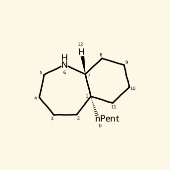 CCCCC[C@]12CCCCN[C@@H]1CCCC2